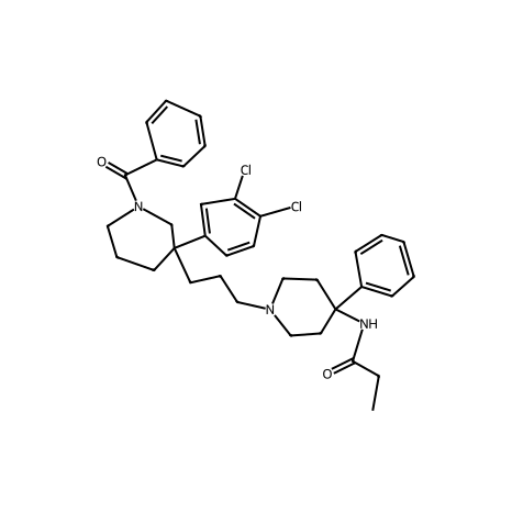 CCC(=O)NC1(c2ccccc2)CCN(CCCC2(c3ccc(Cl)c(Cl)c3)CCCN(C(=O)c3ccccc3)C2)CC1